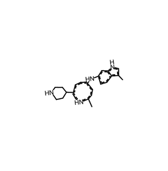 Cc1ccc(Nc2ccc3c(C)c[nH]c3c2)ccc(C2CCNCC2)c[nH]1